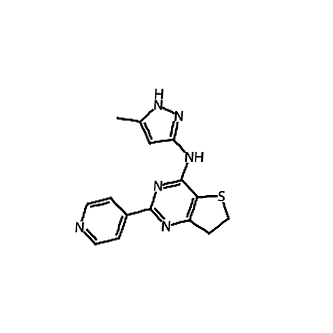 Cc1cc(Nc2nc(-c3ccncc3)nc3c2SCC3)n[nH]1